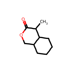 CC1C(=O)OCC2CCCCC21